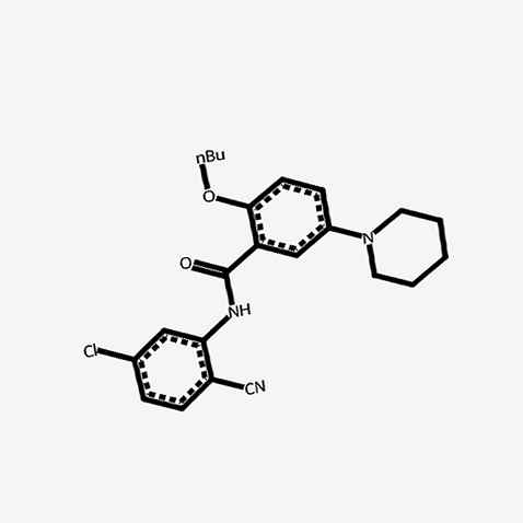 CCCCOc1ccc(N2CCCCC2)cc1C(=O)Nc1cc(Cl)ccc1C#N